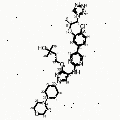 C[C@@H](Cn1cnnn1)Oc1cc(-c2cnc(Nc3cn([C@H]4CC[C@H](N5CCOCC5)CC4)nc3OCCC(C)(C)O)nc2)ccc1Cl